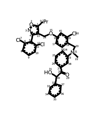 CC(C)c1onc(-c2c(Cl)cccc2Cl)c1COc1ccc(CN(C)c2cccc(C(=O)C(O)c3ccccc3)c2)c(Cl)c1